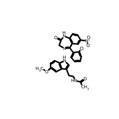 COc1ccc2[nH]cc(CCNC(C)=O)c2c1.O=C1CN=C(c2ccccc2Cl)c2cc([N+](=O)[O-])ccc2N1